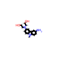 Cn1c2ccc(N)cc2c2cc(N(CCO)CCO)ccc21